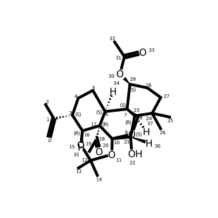 C=C(C)[C@@H]1CC[C@H]2[C@@]34COC5(OC(C)(C)O[C@H]1[C@@]25C(C)=O)[C@@H](O)[C@@H]3C(C)(C)CC[C@@H]4OC(C)=O